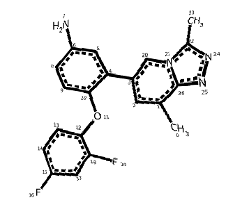 Cc1cc(-c2cc(N)ccc2Oc2ccc(F)cc2F)cn2c(C)nnc12